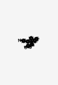 COc1ccc2c(c1)oc1ccc3c4c5c(c6ccccc6c4n(-c4ccc(-c6ccc(C#N)cc6)cc4)c3c12)-c1ccccc1C5(C)C